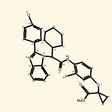 COC(=O)C1(Oc2ccc(NC(=O)C(C3CCCCC3)n3c(-c4ccc(Cl)cc4)nc4ccccc43)c(F)c2)CC1